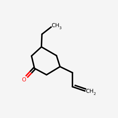 C=CCC1CC(=O)CC(CC)C1